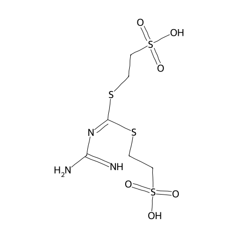 N=C(N)N=C(SCCS(=O)(=O)O)SCCS(=O)(=O)O